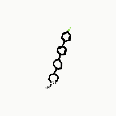 CCC[SiH]1CCC(C2CCC(c3ccc(-c4ccc(F)cc4)cc3)CC2)CC1